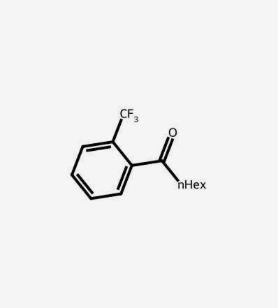 [CH2]CCCCCC(=O)c1ccccc1C(F)(F)F